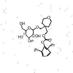 CC(C)c1cccc(C(C)C)c1OC(=O)OCC1(COC2OC(CO)[C@@H](O)C(O)[C@H]2O)CCOCC1